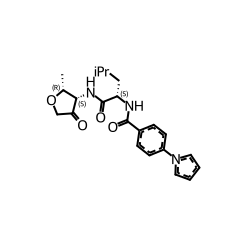 CC(C)C[C@H](NC(=O)c1ccc(-n2cccc2)cc1)C(=O)N[C@@H]1C(=O)CO[C@@H]1C